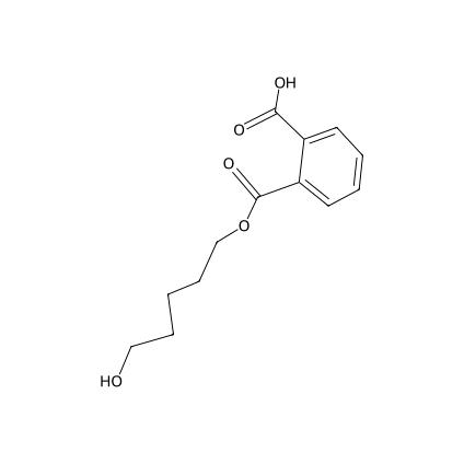 O=C(O)c1ccccc1C(=O)OCCCCCO